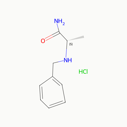 C[C@H](NCc1ccccc1)C(N)=O.Cl